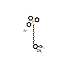 Cc1ccc(CCCCCCCCCC[P+](c2ccccc2)(c2ccccc2)c2ccccc2)cc1C.[Br-]